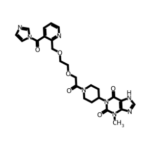 Cn1c(=O)n(C2CCN(C(=O)COCCOCc3ncccc3C(=O)n3ccnc3)CC2)c(=O)c2[nH]cnc21